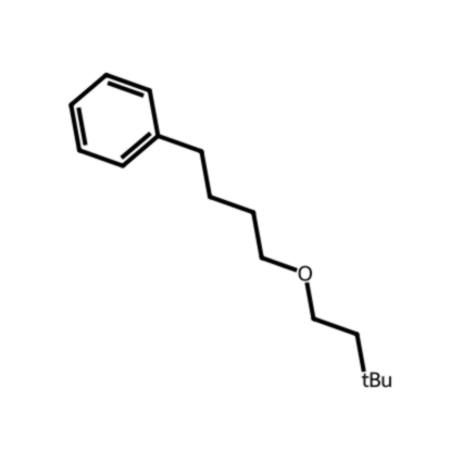 CC(C)(C)CCOCCCCc1ccccc1